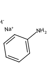 Nc1ccccc1.[H-].[Na+]